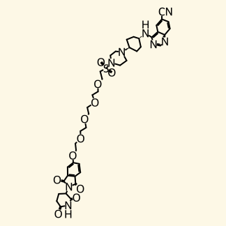 N#Cc1ccc2ncnc(N[C@H]3CC[C@H](N4CCN(S(=O)(=O)CCOCCOCCOCCOCCOc5ccc6c(c5)C(=O)N(C5CCC(=O)NC5=O)C6=O)CC4)CC3)c2c1